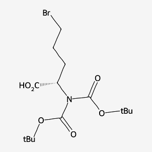 CC(C)(C)OC(=O)N(C(=O)OC(C)(C)C)[C@@H](CCCBr)C(=O)O